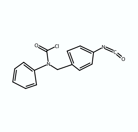 O=C=Nc1ccc(CN(C(=O)Cl)c2ccccc2)cc1